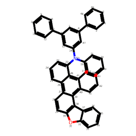 c1ccc(-c2cc(-c3ccccc3)cc(N(c3ccccc3)c3cccc4c5ccc6oc7ccccc7c6c5c5ccccc5c34)c2)cc1